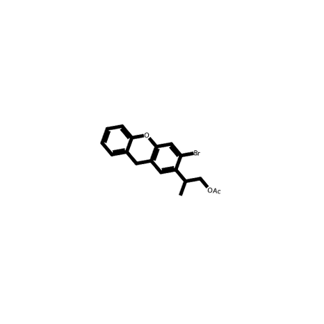 CC(=O)OCC(C)c1cc2c(cc1Br)Oc1ccccc1C2